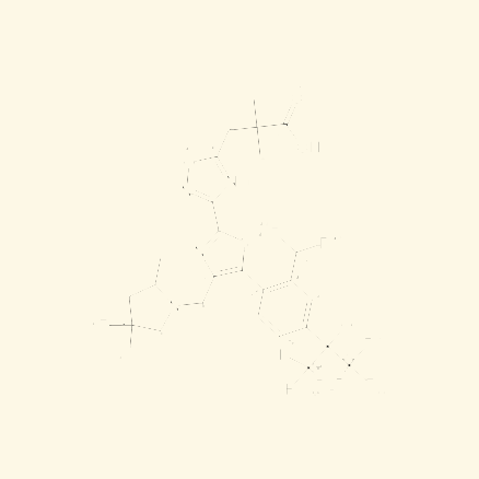 CC1CC(F)(F)CN1Cc1nc(-c2noc(CC(C)(C)C(=O)O)n2)sc1-c1ccc(C(O)(C(F)(F)F)C(F)(F)F)cc1C(F)F